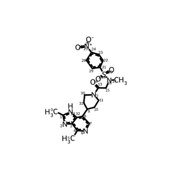 Cc1nc2c(C)ncc(C3CCN(C(=O)CN(C)S(=O)(=O)c4ccc([N+](=O)[O-])cc4)CC3)c2[nH]1